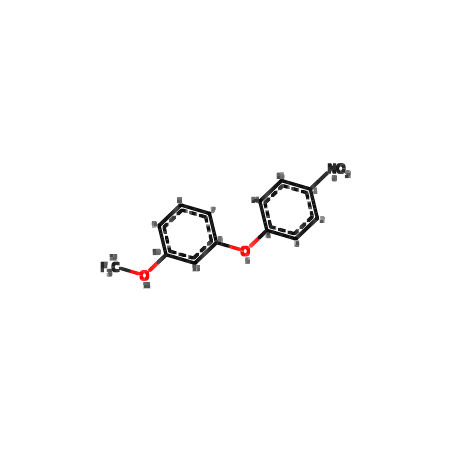 O=[N+]([O-])c1ccc(Oc2cccc(OC(F)(F)F)c2)cc1